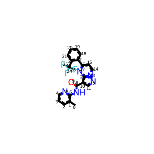 Cc1cccnc1NC(=O)c1cnn2ccc(-c3ccccc3C(F)(F)F)nc12